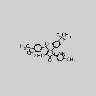 Cc1ccc(N2C(=O)C(O)=C(C(=O)c3ccc(C(C)C)cc3)C2c2ccc(C(C)(F)F)cc2)nn1